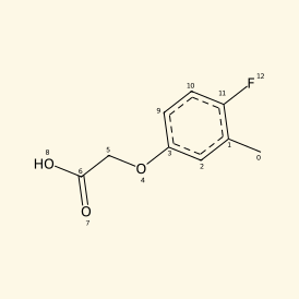 Cc1cc(OCC(=O)O)ccc1F